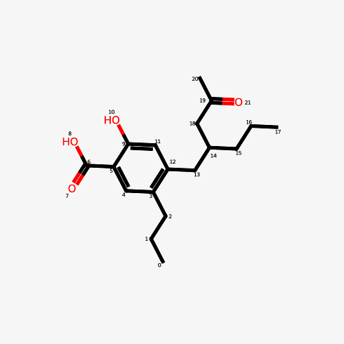 CCCc1cc(C(=O)O)c(O)cc1CC(CCC)CC(C)=O